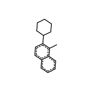 Cc1c(C2CCCCC2)ccc2ccccc12